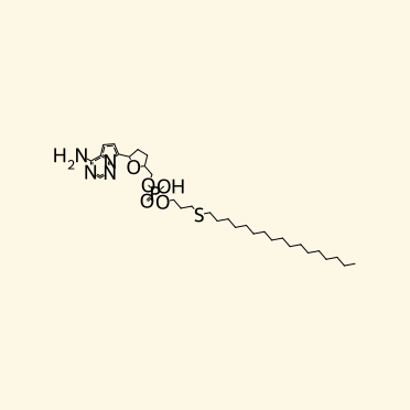 CCCCCCCCCCCCCCCCCSCCCOP(=O)(O)OCC1CCC(c2ccc3c(N)ncnn23)O1